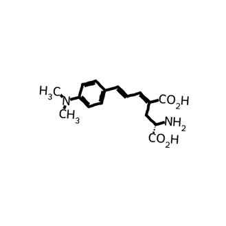 CN(C)c1ccc(/C=C/C=C(\C[C@H](N)C(=O)O)C(=O)O)cc1